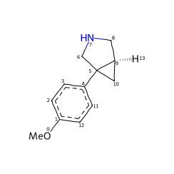 COc1ccc(C23CNC[C@H]2C3)cc1